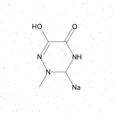 CN1N=C(O)C(=O)N[CH]1[Na]